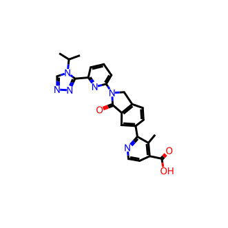 Cc1c(C(=O)O)ccnc1-c1ccc2c(c1)C(=O)N(c1cccc(-c3nncn3C(C)C)n1)C2